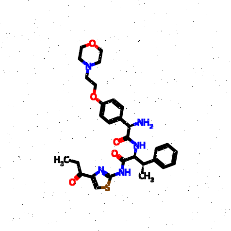 CCC(=O)c1csc(NC(=O)[C@@H](NC(=O)[C@H](N)c2ccc(OCCN3CCOCC3)cc2)[C@@H](C)c2ccccc2)n1